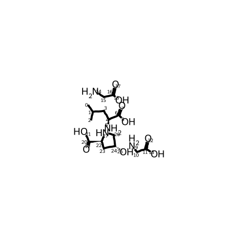 CC(C)C[C@H](N)C(=O)O.NCC(=O)O.NCC(=O)O.O=C(O)[C@@H]1C[C@@H](O)CN1